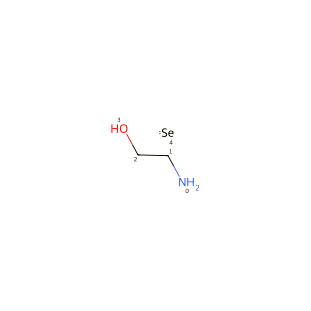 NCCO.[Se]